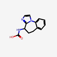 O=C(O)NC1CCc2ccccc2-n2ccnc21